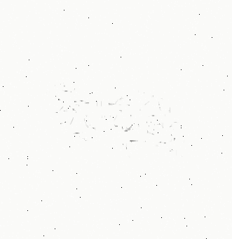 COC(=CC(=O)N(C)C)C(Oc1cc(-n2c(=O)cc(C(F)(F)F)n(C)c2=O)c(F)cc1Cl)/C(C(O)=S)=C(/COc1cc(-n2c(=O)cc(C(F)(F)F)n(C)c2=O)c(Cl)cc1Cl)OC